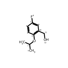 CC(C)Oc1ccc(F)cc1CO